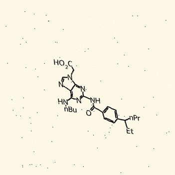 CCCCNc1nc(NC(=O)c2ccc(C(CC)CCC)cc2)nc2c1ncn2CC(=O)O